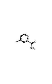 [CH2]c1ccnc(C(N)=O)c1